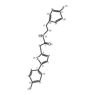 O=C(Cc1ccc(-c2ccc(F)cc2)s1)NCCc1ccc(F)cc1